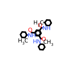 CC1CCCCC1NC(=O)c1cc(C(=O)NC2CCCCC2C)cc(C(=O)NC2CCCCC2C)c1